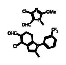 COc1nc(Cl)c(C=O)n1C.Cc1cc2c(n1-c1cccc(C(F)(F)F)c1)CCC(C=O)=C2Cl